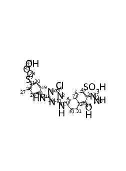 [2H]N=Nc1c(S(=O)(=O)O)cc2cc(Nc3nc(Cl)nc(Nc4ccc(SOOO)c(C)c4)n3)ccc2c1O